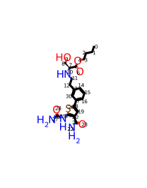 CCCCOC(=O)[C@H](CO)NCCc1cccc(-c2cc(C(N)=O)c(NC(N)=O)s2)c1